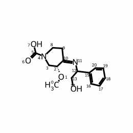 CO[C@@H]1CN(C(=O)O)CCC1=NC(CO)c1ccccc1